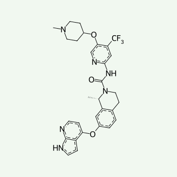 C[C@H]1c2cc(Oc3ccnc4[nH]ccc34)ccc2CCN1C(=O)Nc1cc(C(F)(F)F)c(OC2CCN(C)CC2)cn1